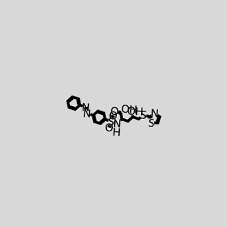 O=C(O)C(CC(O)CSc1nccs1)NS(=O)(=O)c1ccc(N=Nc2ccccc2)cc1